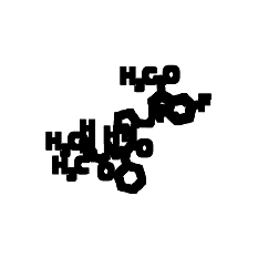 CN[C@@H](C)C(=O)N[C@H](C(=O)N1CCCC1Cn1cc(C(C)=O)c2cc(F)ccc21)C1CCCCC1